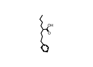 CCCCC(CCCc1ccccc1)C(=O)O